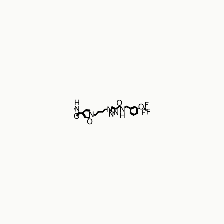 CNC(=O)c1ccn(CCCCn2cc(C(=O)NCc3cccc(OC(F)(F)F)c3)nn2)c(=O)c1